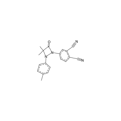 Cc1ccc(N2N(c3ccc(C#N)c(C#N)c3)C(=O)C2(C)C)cc1